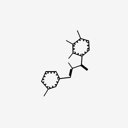 O=C1C(=Cc2cccc([N+](=O)[O-])c2)Oc2c1ccc(O)c2O